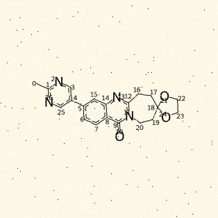 Cc1ncc(-c2ccc3c(=O)n4c(nc3c2)CCC2(CC4)OCCO2)cn1